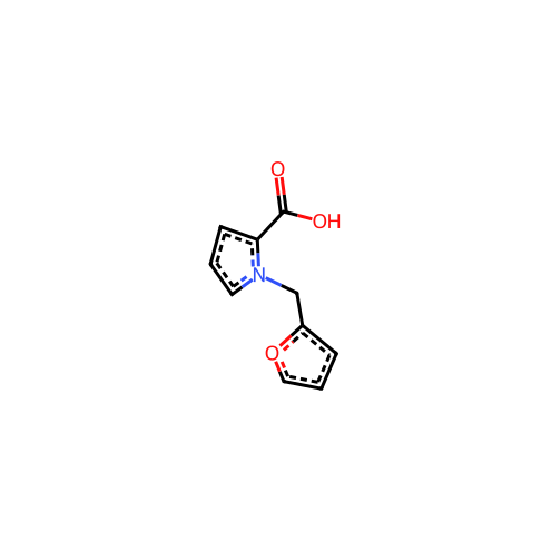 O=C(O)c1cccn1Cc1ccco1